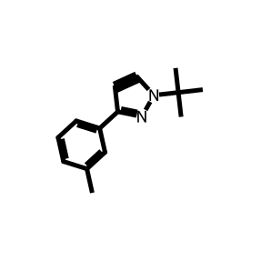 Cc1cccc(-c2c#cn(C(C)(C)C)n2)c1